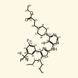 CCCN(CCC)c1sc(Nc2ncnc(N3CCN(CCC(=O)OCC)CC3)c2F)nc1-c1cc(F)cc(C(F)(F)F)c1